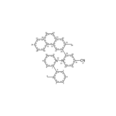 Cc1ccccc1-c1cccc[n+]1-[n+]1ccc(C#N)cc1-c1cc2c(ccc3ccccc32)cc1C